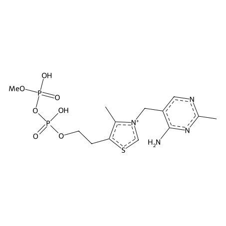 COP(=O)(O)OP(=O)(O)OCCc1sc[n+](Cc2cnc(C)nc2N)c1C